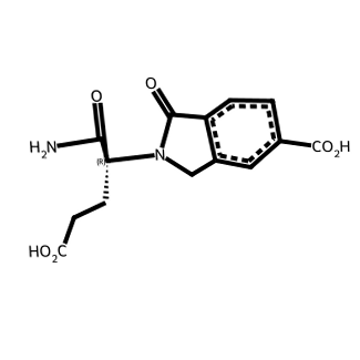 NC(=O)[C@@H](CCC(=O)O)N1Cc2cc(C(=O)O)ccc2C1=O